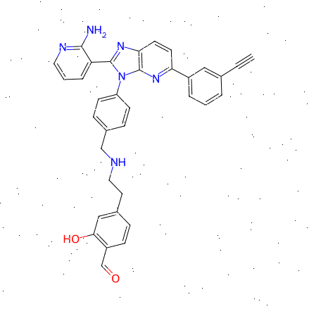 C#Cc1cccc(-c2ccc3nc(-c4cccnc4N)n(-c4ccc(CNCCc5ccc(C=O)c(O)c5)cc4)c3n2)c1